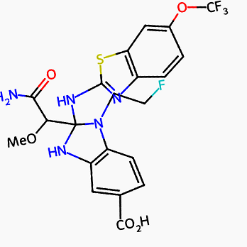 COC(C(N)=O)C1(Nc2nc3ccc(OC(F)(F)F)cc3s2)Nc2cc(C(=O)O)ccc2N1CCF